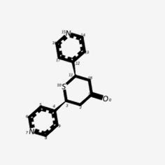 O=C1C[C@@H](c2ccncc2)S[C@@H](c2ccncc2)C1